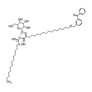 CCCCCCCCCCCCCC[C@@H](O)[C@@H](O)[C@H](COC1OC(CO)C(O)C(O)C1O)NC(=O)CCCCCCCCCCCCCCCOCc1cccc(C(=O)c2ccccc2)c1